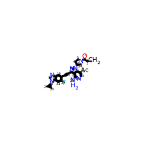 C=CC(=O)N1CC[C@H](n2nc(C#Cc3cc4ncn(C5CC5)c4cc3F)c3c(N)ncc(C(C)=O)c32)C1